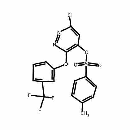 Cc1ccc(S(=O)(=O)Oc2cc(Cl)nnc2Oc2cccc(C(F)(F)F)c2)cc1